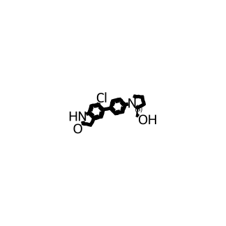 O=C1Cc2cc(-c3ccc(N4CCC[C@H]4CO)cc3)c(Cl)cc2N1